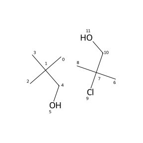 CC(C)(C)CO.CC(C)(Cl)CO